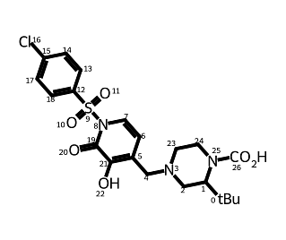 CC(C)(C)C1CN(Cc2ccn(S(=O)(=O)c3ccc(Cl)cc3)c(=O)c2O)CCN1C(=O)O